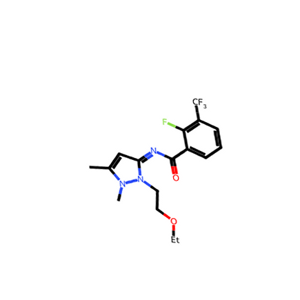 CCOCCn1c(=NC(=O)c2cccc(C(F)(F)F)c2F)cc(C)n1C